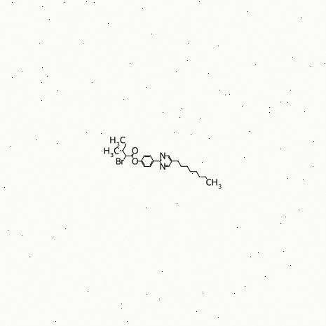 CCCCCCCCc1cnc(-c2ccc(OC(=O)C(Br)C(C)CC)cc2)nc1